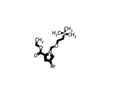 CCOC(=O)c1cc(Br)cn1COCC[Si](C)(C)C